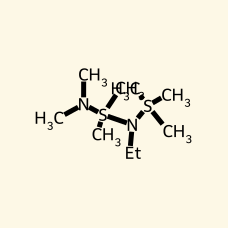 CCN(S(C)(C)C)S(C)(C)N(C)C